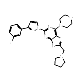 Cc1cccc(-c2ccn(-c3nc(N4CCOCC4)c4nc(CN5CCCC5)[nH]c4n3)n2)c1